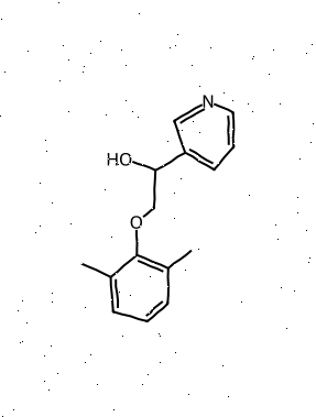 Cc1cccc(C)c1OCC(O)c1cccnc1